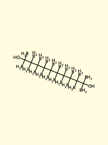 BC(B)(O)C(B)(B)C(B)(B)C(B)(B)C(B)(B)C(B)(B)C(B)(B)C(B)(B)C(B)(B)C(B)(B)O